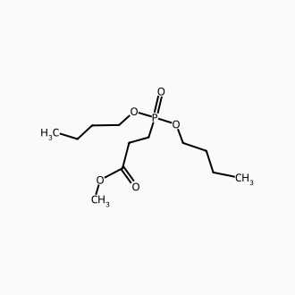 CCCCOP(=O)(CCC(=O)OC)OCCCC